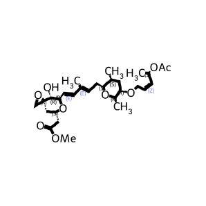 COC(=O)C[C@@H]1C[C@@]2(CO2)[C@H](O)[C@@H](/C=C/C(C)=C/C[C@@H]2O[C@H](C)[C@H](OC/C=C\[C@H](C)OC(C)=O)C[C@@H]2C)O1